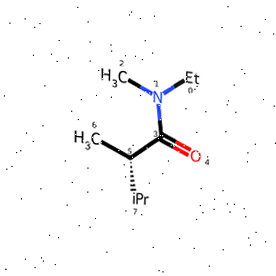 CCN(C)C(=O)[C@@H](C)C(C)C